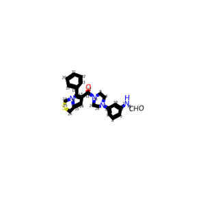 O=CNc1cccc(N2CCN(C(=O)c3cc4n(c3-c3ccccc3)CSC4)CC2)c1